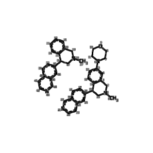 CN1Cc2cc(N3CCOCC3)ccc2C(c2ccc3cnccc3c2)C1.CN1Cc2ccccc2C(c2ccc3ccncc3c2)C1